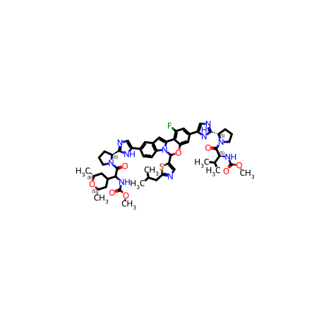 COC(=O)NC(C(=O)N1CCC[C@H]1c1ncc(-c2ccc3c(c2)cc2n3C(c3cnc(CC(C)C)s3)Oc3cc(-c4cnc([C@@H]5CCCN5C(=O)[C@@H](NC(=O)OC)C(C)C)[nH]4)cc(F)c3-2)[nH]1)C1C[C@@H](C)O[C@@H](C)C1